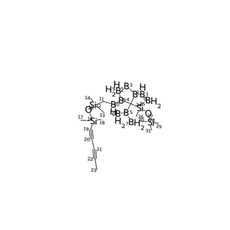 BBB(B)C(B(B)B)(B(B)BC[Si](C)(C)O[Si](C)(C)C#CC#CC)[Si](C)(C)O[Si](C)(C)C